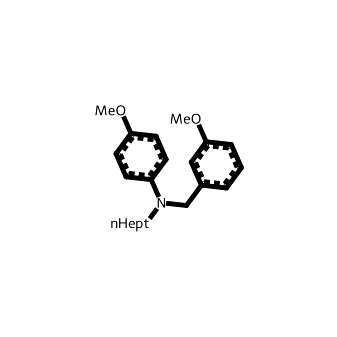 CCCCCCCN(Cc1cccc(OC)c1)c1ccc(OC)cc1